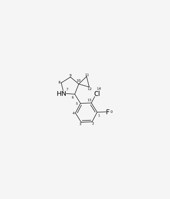 Fc1cccc(C2NCCC23CC3)c1Cl